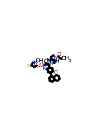 C=CC(=O)N1CC[C@@H]2[C@H]1CN2c1c(C#N)c(OC[C@@H]2C[C@@H](F)CN2C)nc2cc(-c3cccc4c3CCCC4)c(Cl)cc12